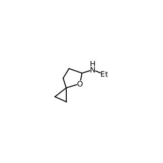 CCNC1CCC2(CC2)O1